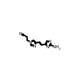 N#CCCn1cnc(/C=C/c2csc(N)n2)c1